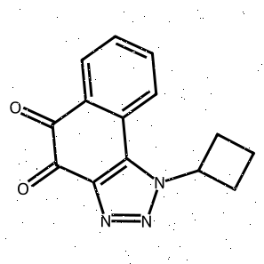 O=C1C(=O)c2nnn(C3CCC3)c2-c2ccccc21